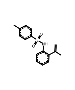 C=C(C)c1ccccc1NS(=O)(=O)c1ccc(C)cc1